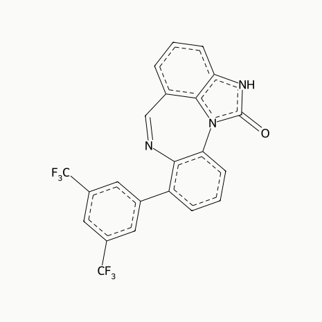 O=c1[nH]c2cccc3c2n1-c1cccc(-c2cc(C(F)(F)F)cc(C(F)(F)F)c2)c1N=C3